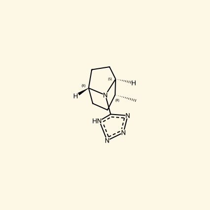 C[C@@H]1CC[C@@H]2CC[C@@H]1N2c1nnn[nH]1